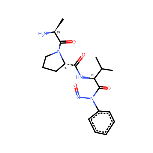 CC(C)[C@H](NC(=O)[C@@H]1CCCN1C(=O)[C@H](C)N)C(=O)N([N+]=O)c1ccccc1